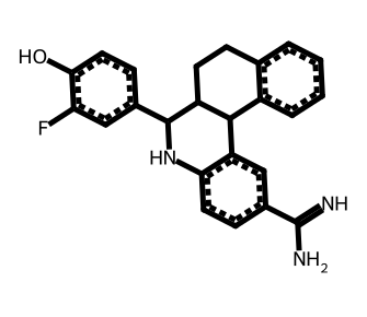 N=C(N)c1ccc2c(c1)C1c3ccccc3CCC1C(c1ccc(O)c(F)c1)N2